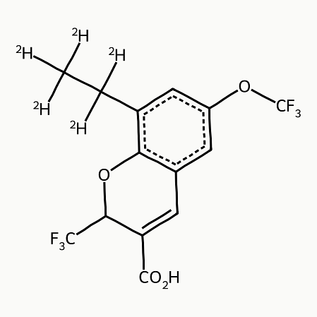 [2H]C([2H])([2H])C([2H])([2H])c1cc(OC(F)(F)F)cc2c1OC(C(F)(F)F)C(C(=O)O)=C2